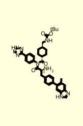 Cc1cc2nc[nH]c2cc1-c1ccc(C[C@H](N)C(=O)N(c2ccc(-c3nn[nH]n3)cc2)C(=O)[C@H]2CC[C@H](CNC(=O)OC(C)(C)C)CC2)cc1